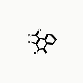 C=C1c2ccccc2C(C(=O)O)=C(O)C1O